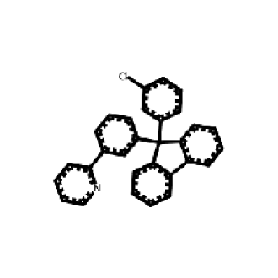 Clc1cccc(C2(c3cccc(-c4ccccn4)c3)c3ccccc3-c3ccccc32)c1